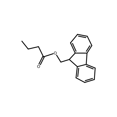 CCCC(=O)OCC1c2ccccc2-c2ccccc21